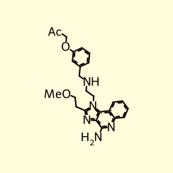 COCCc1nc2c(N)nc3ccccc3c2n1CCNCc1cccc(OCC(C)=O)c1